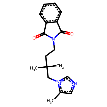 Cc1cncn1CC(C)(C)CCN1C(=O)c2ccccc2C1=O